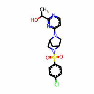 CC(O)c1nccc(N2CC3CC2CN3S(=O)(=O)c2ccc(Cl)cc2)n1